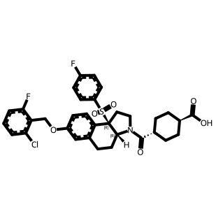 O=C(O)[C@H]1CC[C@H](C(=O)N2CC[C@@]3(S(=O)(=O)c4ccc(F)cc4)c4ccc(OCc5c(F)cccc5Cl)cc4CC[C@@H]23)CC1